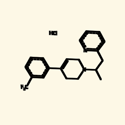 CC(Cc1ccccn1)N1CC=C(c2cccc(C(F)(F)F)c2)CC1.Cl